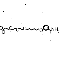 COC(=O)CCOCCOCCOCCCCCCOc1cccc([C@@H](C)N)c1